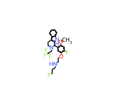 COc1cc(F)c(OCCNCCCF)cc1C1c2[nH]c3ccccc3c2CCN1CC(F)(F)F